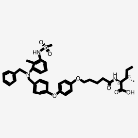 CC[C@H](C)[C@H](NC(=O)CCCCOc1ccc(Oc2ccc(CN(Cc3ccccc3)c3cccc(NS(C)(=O)=O)c3C)cc2)cc1)C(=O)O